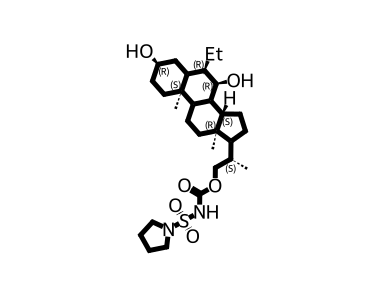 CC[C@@H]1C2C[C@H](O)CC[C@]2(C)C2CC[C@]3(C)C([C@H](C)COC(=O)NS(=O)(=O)N4CCCC4)CC[C@H]3C2[C@@H]1O